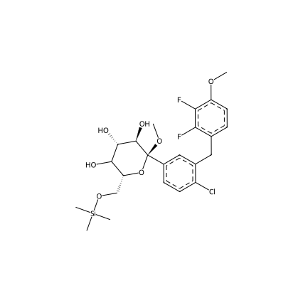 COc1ccc(Cc2cc([C@]3(OC)O[C@H](CO[Si](C)(C)C)C(O)[C@H](O)[C@H]3O)ccc2Cl)c(F)c1F